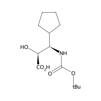 CC(C)(C)OC(=O)N[C@H](C1CCCC1)[C@H](O)C(=O)O